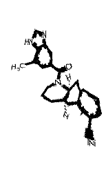 Cc1cc(C(=O)N2CCC[C@@H]3c4cc(C#N)ccc4C[C@@H]32)cc2nc[nH]c12